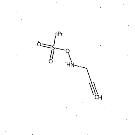 C#CCNOS(=O)(=O)CCC